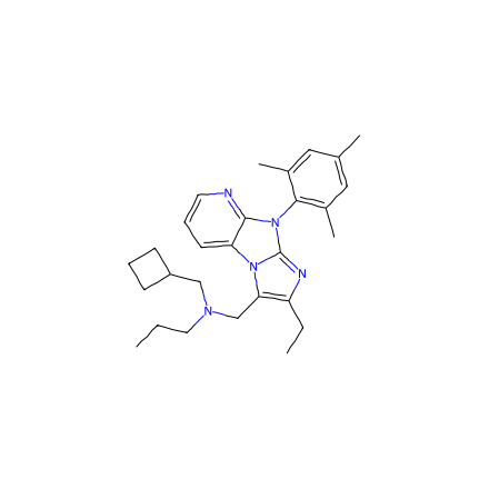 CCCN(Cc1c(CC)nc2n(-c3c(C)cc(C)cc3C)c3ncccc3n12)CC1CCC1